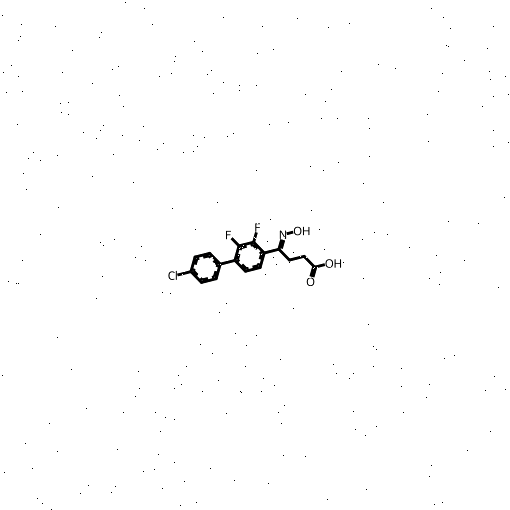 O=C(O)CCC(=NO)c1ccc(-c2ccc(Cl)cc2)c(F)c1F